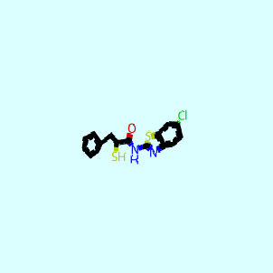 O=C(Nc1nc2ccc(Cl)cc2s1)C(S)Cc1ccccc1